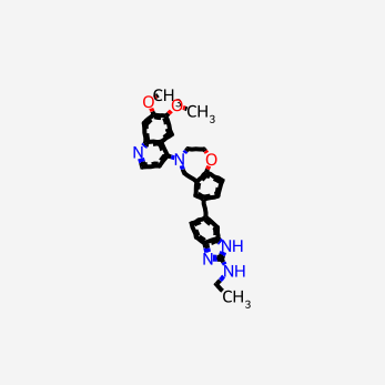 CCNc1nc2ccc(-c3ccc4c(c3)CN(c3ccnc5cc(OC)c(OC)cc35)CCO4)cc2[nH]1